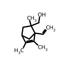 C=CC12CC(CC1(C)CO)C(C)=C2C